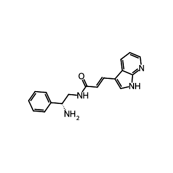 N[C@@H](CNC(=O)/C=C/c1c[nH]c2ncccc12)c1ccccc1